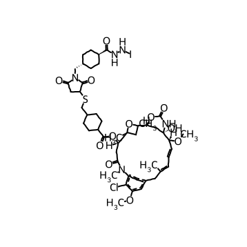 COc1cc2cc(c1Cl)N(C)C(=O)C[C@H](OC(=O)C1CCC(CSC3CC(=O)N(C[C@H]4CC[C@H](C(=O)NNI)CC4)C3=O)CC1)[C@@]1(C)CC(C)(O1)[C@@H]1C[C@@](O)(NC(=O)O1)[C@H](OC)/C=C/C=C(\C)C2